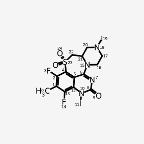 Cc1c(F)c2c3c(nc(=O)n(I)c3c1F)N1CCN(I)CC1CS2(=O)=O